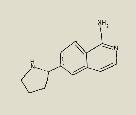 Nc1nccc2cc(C3CCCN3)ccc12